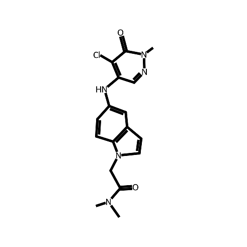 CN(C)C(=O)Cn1ccc2cc(Nc3cnn(C)c(=O)c3Cl)ccc21